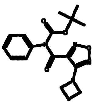 CC(C)(C)OC(=O)N(C(=O)c1nonc1N1CCC1)c1ccccc1